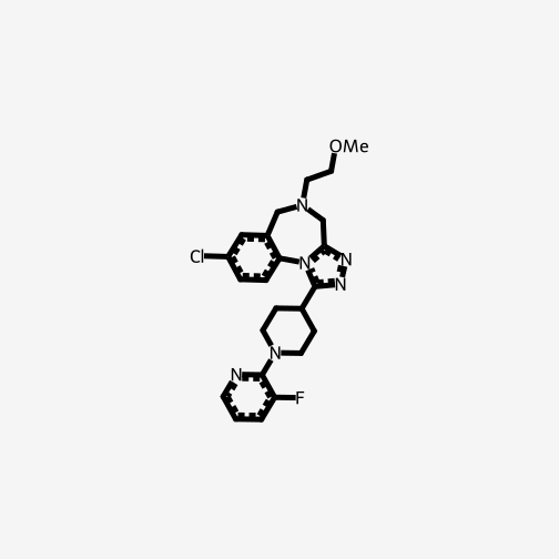 COCCN1Cc2cc(Cl)ccc2-n2c(nnc2C2CCN(c3ncccc3F)CC2)C1